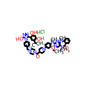 CCOc1cc(N2CCC(C(=O)N3CCN(Cc4ccc(-n5c(O)nnc5-c5cc(C(C)C)c(O)cc5O)cc4)CC3)CC2)ccc1N(C)c1ncc2c(n1)N(C)c1ccccc1C(=O)N2C.Cl